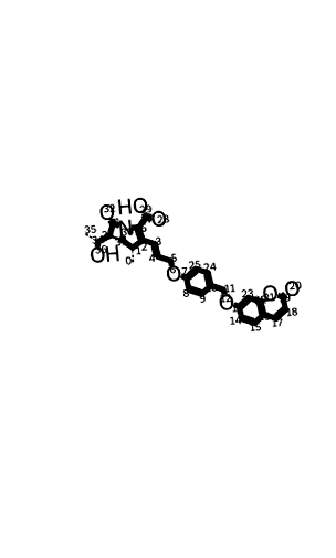 C[C@H]1C(/C=C/COc2ccc(COc3ccc4ccc(=O)oc4c3)cc2)=C(C(=O)O)N2C(=O)[C@H]([C@@H](C)O)C12